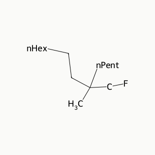 CCCCCCCCC(C)(CF)CCCCC